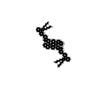 CCCCCCCC1(CCCCCCC)c2ccccc2-c2ccc(-c3ccc4c(c3)C(C)(C)c3cc(N(c5cccc6ccccc56)c5c6ccccc6c(N(c6ccc7c(c6)C(C)(C)c6cc(-c8ccc9c(c8)C(CCCCCCC)(CCCCCCC)c8ccccc8-9)ccc6-7)c6cccc7ccccc67)c6ccccc56)ccc3-4)cc21